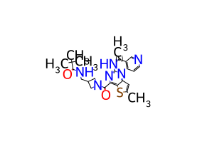 Cc1cc2nc(N[C@@H](C)c3cccnc3)nc(C(=O)N3CC(CNC(=O)C(C)(C)C)C3)c2s1